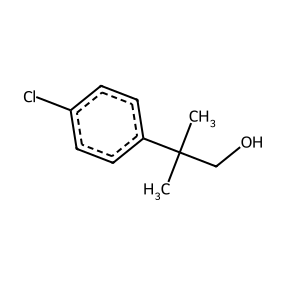 CC(C)(CO)c1ccc(Cl)cc1